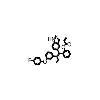 C=CC(=O)Oc1ccccc1/C(=C(\CC)c1cccc(Oc2ccc(F)cc2)c1)c1ccc2[nH]ncc2c1